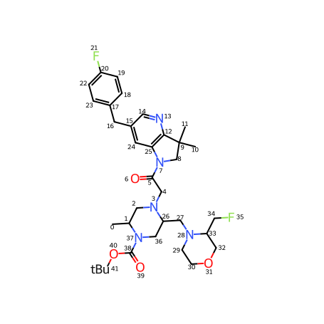 CC1CN(CC(=O)N2CC(C)(C)c3ncc(Cc4ccc(F)cc4)cc32)C(CN2CCOCC2CF)CN1C(=O)OC(C)(C)C